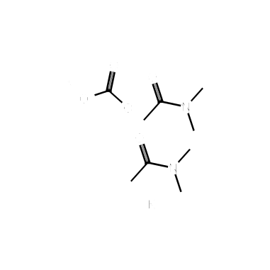 CC(=O)N(C)C.CC(=O)N(C)C.O=C([O-])[O-].[K+].[K+]